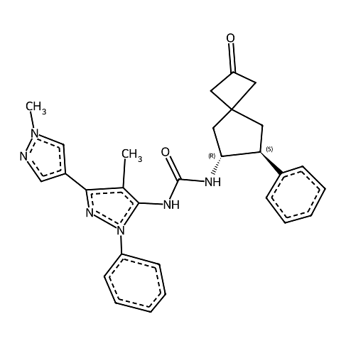 Cc1c(-c2cnn(C)c2)nn(-c2ccccc2)c1NC(=O)N[C@@H]1CC2(CC(=O)C2)C[C@H]1c1ccccc1